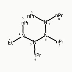 CCCN(CC)N(CCC)N(CCC)N(CCC)CCC